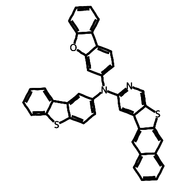 c1ccc2cc3c(cc2c1)sc1cnc(N(c2ccc4c(c2)oc2ccccc24)c2ccc4sc5ccccc5c4c2)cc13